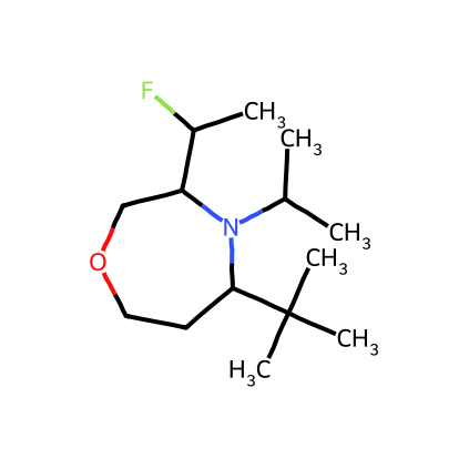 CC(F)C1COCCC(C(C)(C)C)N1C(C)C